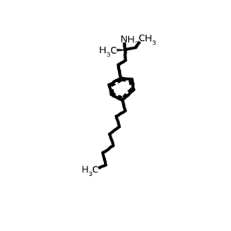 CCCCCCCCc1ccc(CC[C@](C)(N)CC)cc1